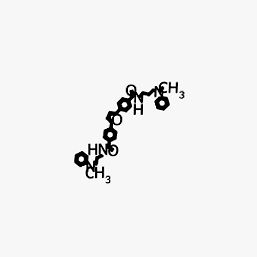 CN(CCCNC(=O)c1ccc(-c2ccc(-c3ccc(C(=O)NCCCN(C)c4ccccc4)cc3)o2)cc1)c1ccccc1